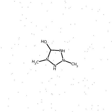 CN1NC(O)N(C)N1